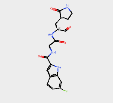 O=C[C@H](CC1CCNC1=O)NC(=O)CNC(=O)c1cc2ccc(F)cc2[nH]1